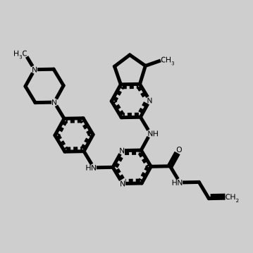 C=CCNC(=O)c1cnc(Nc2ccc(N3CCN(C)CC3)cc2)nc1Nc1ccc2c(n1)C(C)CC2